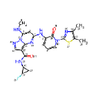 CNc1cc(Nc2cccn(-c3nc(C)c(C)s3)c2=O)nc2c(C(=O)N[C@H]3C[C@H]3F)cnn12